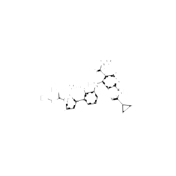 CCOC(C)n1ccc(-c2cccc(Nc3cc(NC(=O)C4CC4)ncc3C(=O)NC)c2OC)n1